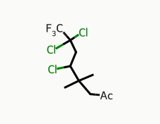 CC(=O)CC(C)(C)C(Cl)CC(Cl)(Cl)C(F)(F)F